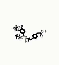 CC(C)(Cc1ccc(CC(=O)O)cc1)NC[C@H](O[Si](C)(C)C(C)(C)C)c1ccc(O)c(NS(C)(=O)=O)c1